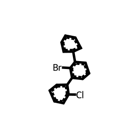 Clc1ccccc1-c1cccc(-c2ccccc2)c1Br